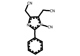 N#CCc1nc(-c2ccccc2)n(C#N)c1CC#N